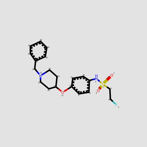 O=S(=O)(CCF)Nc1ccc(OC2CCN(Cc3ccccc3)CC2)cc1